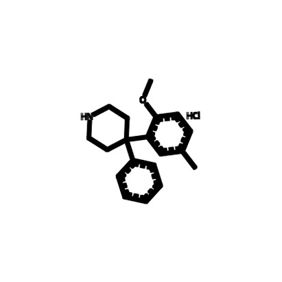 COc1ccc(C)cc1C1(c2ccccc2)CCNCC1.Cl